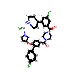 Cl.O=C(c1cc(F)cc(C2CCNCC2)c1)N1CCN(C(=O)c2ccc(OC3CCNC3)c(-c3ccc(F)cc3)c2)CC1